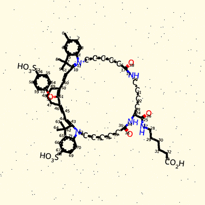 Cc1ccc2c(c1)C(C)(C)C1=[N+]2CCCCCC(=O)NCCCCC(C(=O)NCCCCCC(=O)O)NC(=O)CCCCCN2/C(=C/C=C3\CCCC(=C3Oc3ccc(S(=O)(=O)O)cc3)/C=C/1)C(C)(C)c1cc(S(=O)(=O)O)ccc12